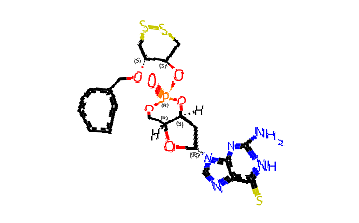 Nc1nc2c(ncn2[C@H]2C[C@@H]3O[P@](=O)(O[C@@H]4CSSC[C@H]4OCc4ccccc4)OC[C@H]3O2)c(=S)[nH]1